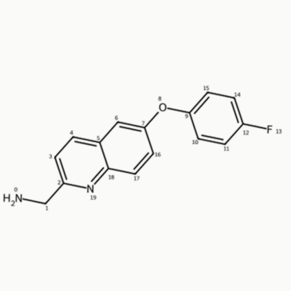 NCc1ccc2cc(Oc3ccc(F)cc3)ccc2n1